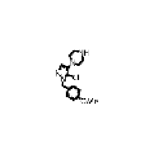 COc1ccc(Cn2ncc(N3CCNCC3)c2Cl)cc1